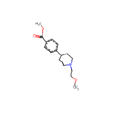 COCCN1CCC(c2ccc(C(=O)OC)cc2)CC1